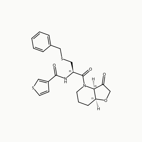 O=C(N[C@@H](CSCc1ccccc1)C(=O)N1CCC[C@@H]2OCC(=O)[C@@H]21)c1ccsc1